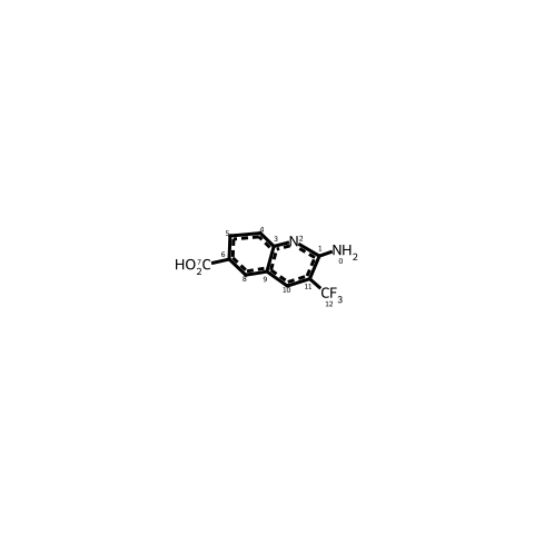 Nc1nc2ccc(C(=O)O)cc2cc1C(F)(F)F